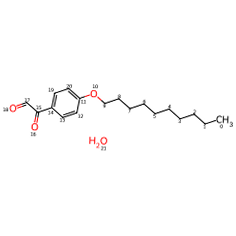 CCCCCCCCCCOc1ccc(C(=O)C=O)cc1.O